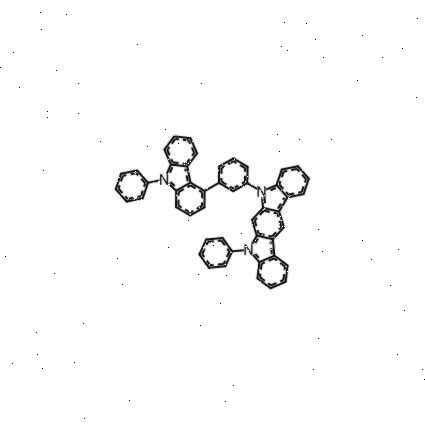 c1ccc(-n2c3ccccc3c3cc4c5ccccc5n(-c5cccc(-c6cccc7c6c6ccccc6n7-c6ccccc6)c5)c4cc32)cc1